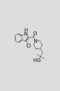 CC(C)(O)CC1CCN(C(=O)c2[nH]c3ccccc3c2Cl)CC1